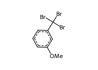 COc1cccc(C(Br)(Br)Br)c1